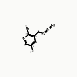 [N-]=[N+]=NCc1cc(F)cnc1Br